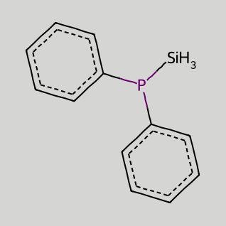 [SiH3]P(c1ccccc1)c1ccccc1